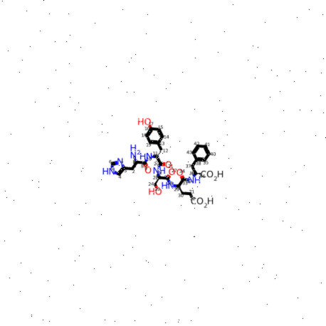 N[C@H](Cc1c[nH]cn1)C(=O)N[C@H](Cc1ccc(O)cc1)C(=O)N[C@H](CO)C(=O)N[C@H](CCC(=O)O)C(=O)N[C@@H](Cc1ccccc1)C(=O)O